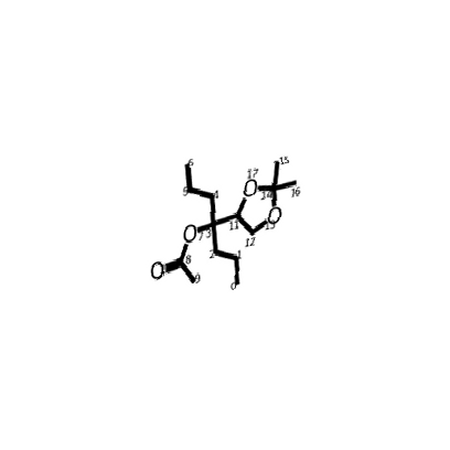 CCCC(CCC)(OC(C)=O)C1COC(C)(C)O1